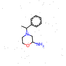 CC(c1ccccc1)N1CCOC(N)C1